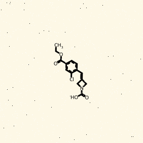 CCOC(=O)c1ccc(C=C2CN(C(=O)O)C2)c(Cl)c1